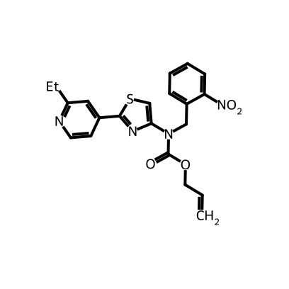 C=CCOC(=O)N(Cc1ccccc1[N+](=O)[O-])c1csc(-c2ccnc(CC)c2)n1